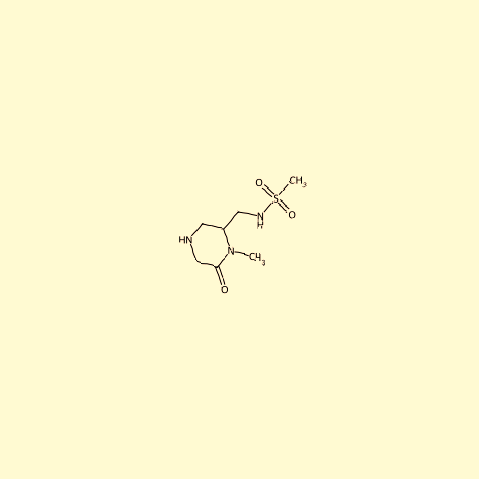 CN1C(=O)CNCC1CNS(C)(=O)=O